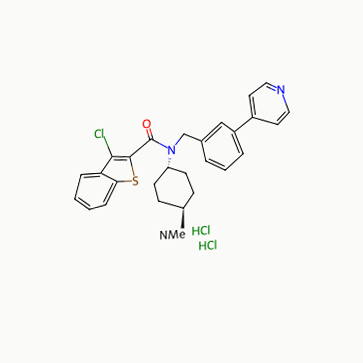 CN[C@H]1CC[C@H](N(Cc2cccc(-c3ccncc3)c2)C(=O)c2sc3ccccc3c2Cl)CC1.Cl.Cl